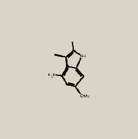 COc1cc(N)c2c(C)c(C)[nH]c2c1